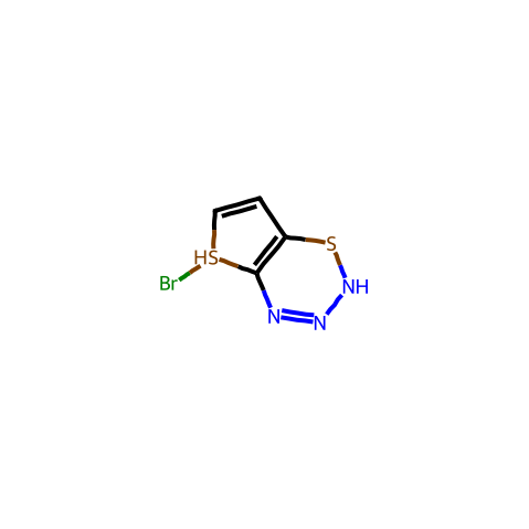 Br[SH]1C=CC2=C1N=NNS2